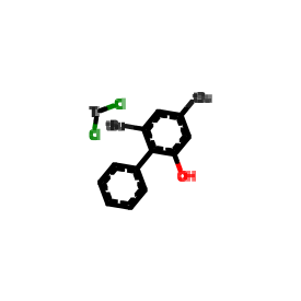 CC(C)(C)c1cc(O)c(-c2ccccc2)c(C(C)(C)C)c1.[Cl][Ti][Cl]